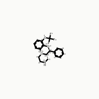 Fc1cccc(OC(F)(F)F)c1O[C@@H](c1ccccc1)[C@@H]1CNCCO1